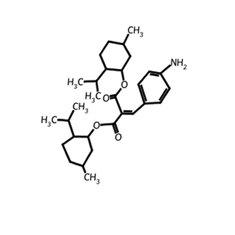 CC1CCC(C(C)C)C(OC(=O)C(=Cc2ccc(N)cc2)C(=O)OC2CC(C)CCC2C(C)C)C1